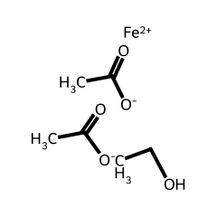 CC(=O)[O-].CC(=O)[O-].CCO.[Fe+2]